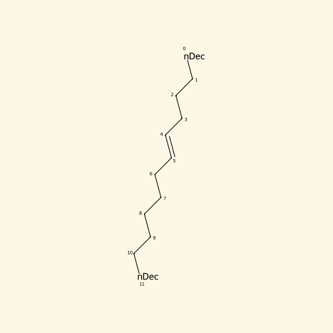 [CH2]CCCCCCCCCCCCC=CCCCCCCCCCCCCCC[CH2]